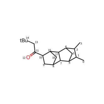 CC1C(C)C2CC1C1C3CC(C(=O)CC(C)(C)C)C(C3)C21